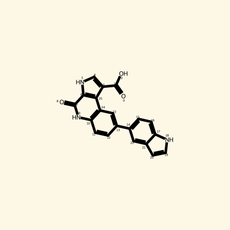 O=C(O)c1c[nH]c2c(=O)[nH]c3ccc(-c4ccc5[nH]ccc5c4)cc3c12